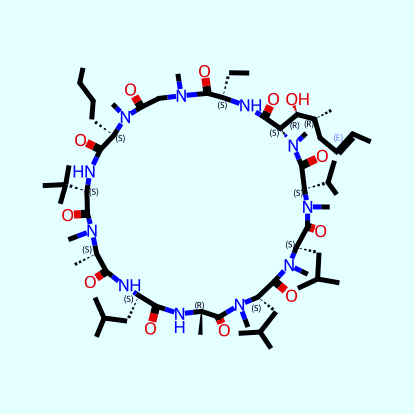 C/C=C/C[C@@H](C)[C@@H](O)[C@H]1C(=O)N[C@@H](CC)C(=O)N(C)CC(=O)N(C)[C@@H](CCCC)C(=O)N[C@@H](C(C)(C)C)C(=O)N(C)[C@@H](C)C(=O)N[C@@H](CC(C)C)C(=O)N[C@H](C)C(=O)N(C)[C@@H](CC(C)C)C(=O)N(C)[C@@H](CC(C)C)C(=O)N(C)[C@@H](C(C)C)C(=O)N1C